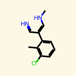 CN/C=C(\C=N)c1cccc(Cl)c1C